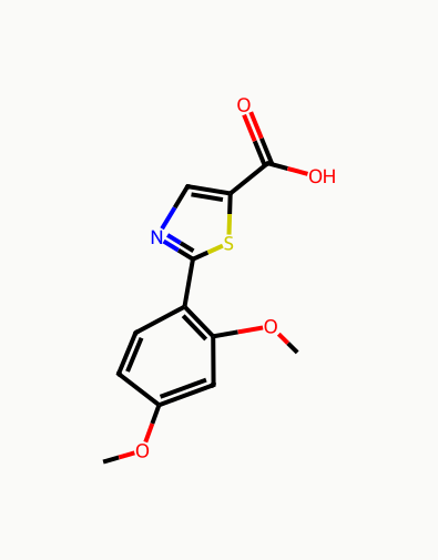 COc1ccc(-c2ncc(C(=O)O)s2)c(OC)c1